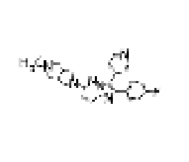 CN1CC2CN(c3ccc4nc(-c5ccc(F)cc5)c(-c5ccncc5)n4n3)CC2C1